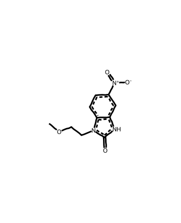 COCCn1c(=O)[nH]c2cc([N+](=O)[O-])ccc21